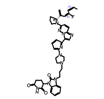 C=C(/C=C(F)\C=C/C)[C@H]1CCCN1c1ccc2ncc(-c3cccc(N4CCN(CCCn5c(=O)n(C6CCC(=O)NC6=O)c6ccccc65)CC4)n3)n2n1